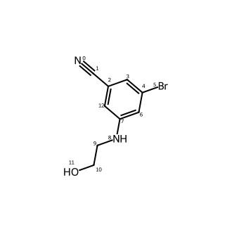 N#Cc1cc(Br)cc(NCCO)c1